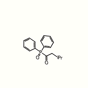 CC(C)CC(=O)P(=O)(c1ccccc1)c1ccccc1